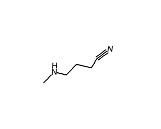 CNCCCC#N